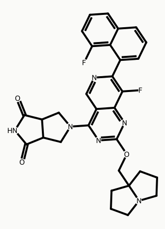 O=C1NC(=O)C2CN(c3nc(OCC45CCCN4CCC5)nc4c(F)c(-c5cccc6cccc(F)c56)ncc34)CC12